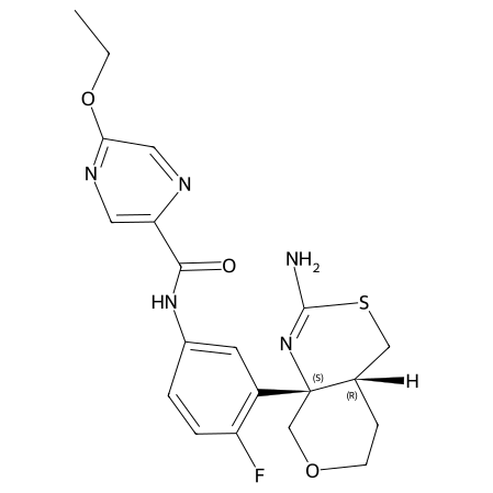 CCOc1cnc(C(=O)Nc2ccc(F)c([C@]34COCC[C@H]3CSC(N)=N4)c2)cn1